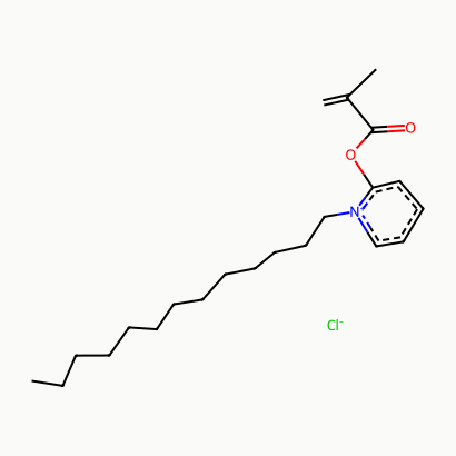 C=C(C)C(=O)Oc1cccc[n+]1CCCCCCCCCCCCC.[Cl-]